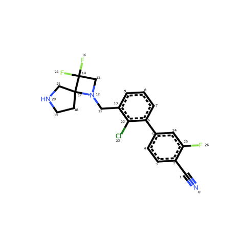 N#Cc1ccc(-c2cccc(CN3CC(F)(F)C34CCNC4)c2Cl)cc1F